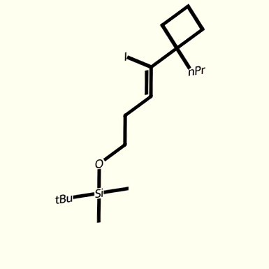 CCCC1(/C(I)=C/CCO[Si](C)(C)C(C)(C)C)CCC1